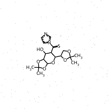 CC1(C)OCC(C2OC3OC(C)(C)OC3C(O)C2C(=S)n2ccnc2)O1